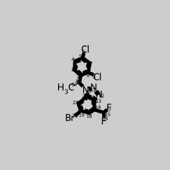 C[C@H](c1ccc(Cl)cc1Cl)n1nnc2c(C(F)F)cc(Br)cc21